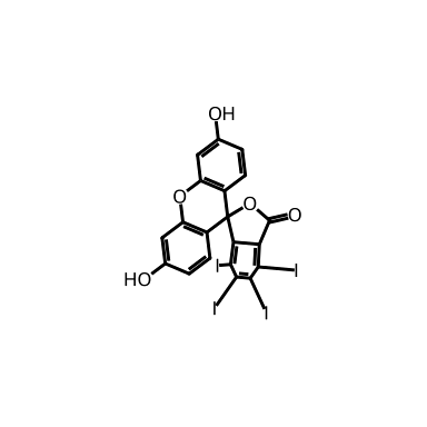 O=C1OC2(c3ccc(O)cc3Oc3cc(O)ccc32)c2c(I)c(I)c(I)c(I)c21